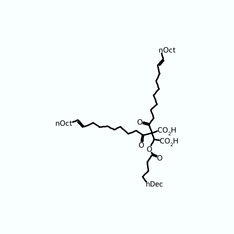 CCCCCCCCC=CCCCCCCCC(=O)C(C(=O)O)(C(=O)CCCCCCCC=CCCCCCCCC)C(OC(=O)CCCCCCCCCCCCC)C(=O)O